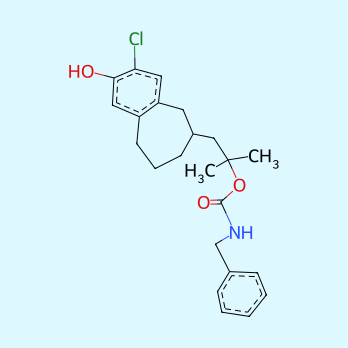 CC(C)(CC1CCCc2cc(O)c(Cl)cc2C1)OC(=O)NCc1ccccc1